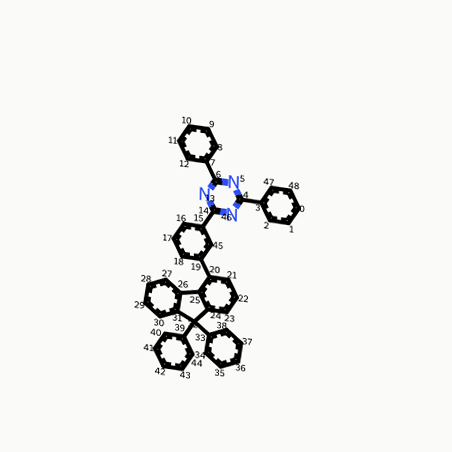 c1ccc(-c2nc(-c3ccccc3)nc(-c3cccc(-c4cccc5c4-c4ccccc4C5(c4ccccc4)c4ccccc4)c3)n2)cc1